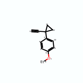 C#CC1(c2ccc(OCC)cc2)CC1